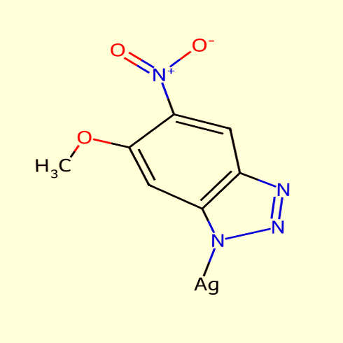 COc1cc2c(cc1[N+](=O)[O-])nn[n]2[Ag]